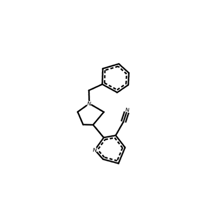 N#Cc1cccnc1C1CCN(Cc2ccccc2)C1